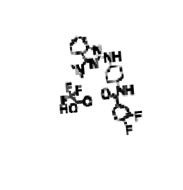 CN(C)c1nc(N[C@H]2CC[C@@H](NC(=O)c3ccc(F)c(F)c3)CC2)nc2ccccc12.O=C(O)C(F)(F)F